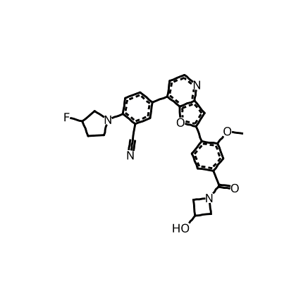 COc1cc(C(=O)N2CC(O)C2)ccc1-c1cc2nccc(-c3ccc(N4CCC(F)C4)c(C#N)c3)c2o1